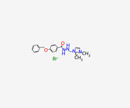 C[c+]1n(C)ccn1CNNC(=O)c1ccc(OCc2ccccc2)cc1.[Br-]